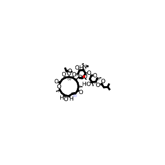 CO[C@@H]1[C@@H](O[C@@H]2O[C@H](C)[C@@H](O[C@H]3C[C@@](C)(O)[C@@H](OC(=O)CC(C)C)[C@H](C)O3)[C@H](N(C)C)[C@H]2O)[C@@H](CC=O)C[C@@H](C)C(=O)/C=C/[C@@H]2O[C@H]2C[C@@H](C)OC(=O)C[C@H]1OC(C)=O